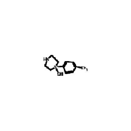 O[N+]1(c2ccc(C(F)(F)F)cc2)CCNCC1